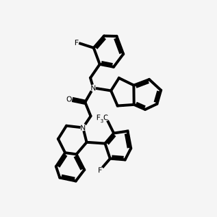 O=C(CN1CCc2ccccc2C1c1c(F)cccc1C(F)(F)F)N(Cc1ccccc1F)C1Cc2ccccc2C1